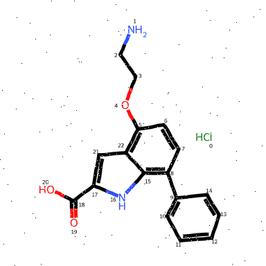 Cl.NCCOc1ccc(-c2ccccc2)c2[nH]c(C(=O)O)cc12